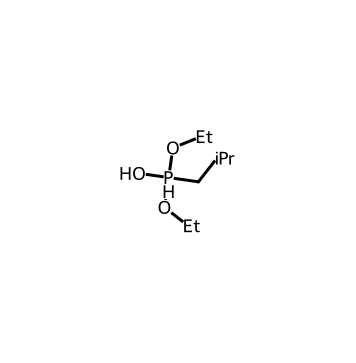 CCO[PH](O)(CC(C)C)OCC